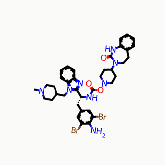 CN1CCC(Cn2c([C@@H](Cc3cc(Br)c(N)c(Br)c3)NC(=O)ON3CCC(N4CCc5ccccc5NC4=O)CC3)nc3ccccc32)CC1